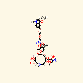 CCn1cc(C(=O)O)c(=O)c2cc(COCCOCCNC(=O)O[C@H]3[C@H](C)O[C@@H](O[C@H]4[C@H](C)[C@@H](O[C@@H]5O[C@H](C)CC(N(C)C)[C@H]5O)[C@](C)(O)C[C@@H](C)CN(C)[C@H](C)[C@@H](O)[C@](C)(O)[C@@H](I)OC(=O)[C@@H]4C)C[C@@]3(C)OC)ccc21